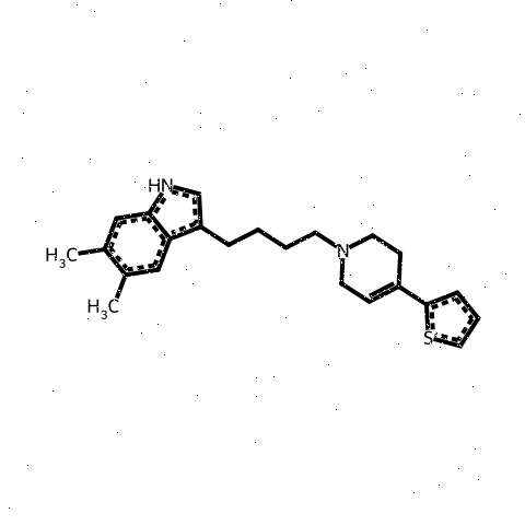 Cc1cc2[nH]cc(CCCCN3CC=C(c4cccs4)CC3)c2cc1C